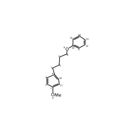 COc1ccc(CCC[CH]Oc2ccccc2)cc1